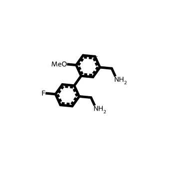 COc1c[c]c(CN)cc1-c1cc(F)ccc1CN